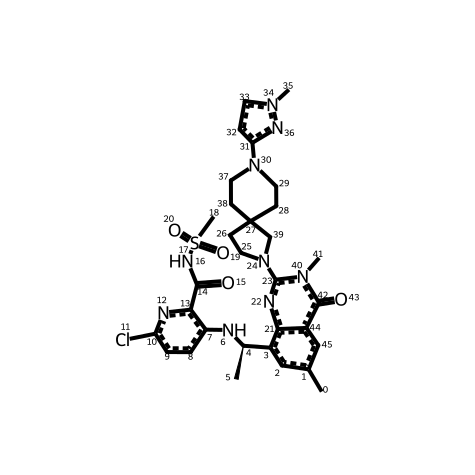 Cc1cc([C@@H](C)Nc2ccc(Cl)nc2C(=O)NS(C)(=O)=O)c2nc(N3CCC4(CCN(c5ccn(C)n5)CC4)C3)n(C)c(=O)c2c1